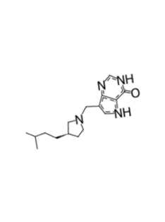 CC(C)CC[C@@H]1CCN(Cc2c[nH]c3c(=O)[nH]cnc23)C1